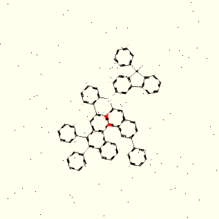 CC1(c2ccccc2)c2ccccc2-c2cc(N(c3ccc4cc(-c5ccccc5)ccc4c3)c3ccccc3-c3ccc4c(c3)c(-c3ccccc3)c(-c3ccccc3)c3ccccc34)ccc21